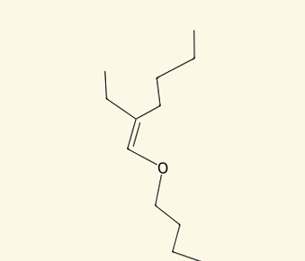 CCCCOC=C(CC)CCCC